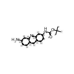 CC(C)(C)OC(=O)Nc1ccc2cc3ccc(N)cc3nc2c1